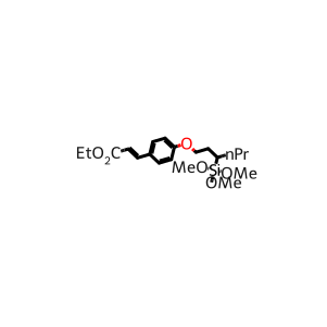 CCCC(CCOc1ccc(C=CC(=O)OCC)cc1)[Si](OC)(OC)OC